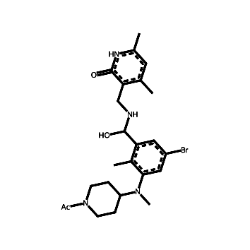 CC(=O)N1CCC(N(C)c2cc(Br)cc(C(O)NCc3c(C)cc(C)[nH]c3=O)c2C)CC1